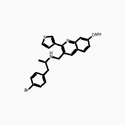 COc1ccc2cc(CNC(C)Cc3ccc(Br)cc3)c(-c3ccsc3)nc2c1